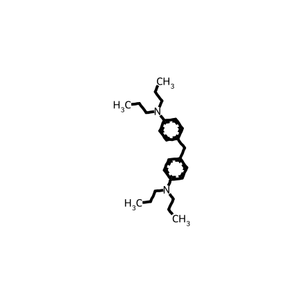 CCCN(CCC)c1ccc(Cc2ccc(N(CCC)CCC)cc2)cc1